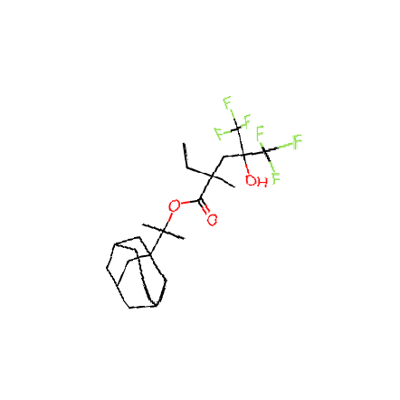 CCC(C)(CC(O)(C(F)(F)F)C(F)(F)F)C(=O)OC(C)(C)C12CC3CC(CC(C3)C1)C2